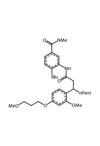 CCCCCC(CC(=O)Nc1cc(C(=O)NC)ccc1C(C)(C)C)c1ccc(OCCCOC)cc1OC